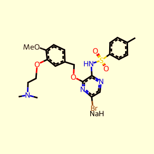 COc1ccc(COc2nc(Br)cnc2NS(=O)(=O)c2ccc(C)cc2)cc1OCCN(C)C.[NaH]